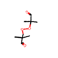 CC(C)(C=O)OOC(C)(C)C=O